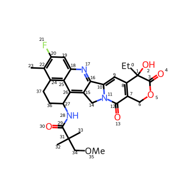 CCC1(O)C(=O)OCc2c1cc1n(c2=O)Cc2c-1nc1cc(F)c(C)c3c1c2C(NC(=O)C(C)(C)COC)CC3